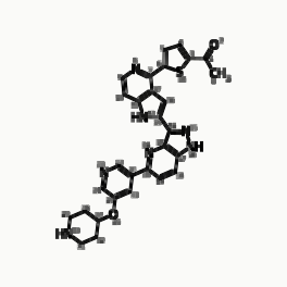 CC(=O)c1ccc(-c2nccc3[nH]c(-c4n[nH]c5ccc(-c6cncc(OC7CCNCC7)c6)nc45)cc23)s1